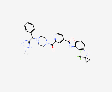 CN1N=C(C(c2ccccc2)N2CCN(C(=O)c3cc(-c4nc5cc(NC6(C(F)(F)F)CC6)ccc5o4)ccn3)CC2)NN1